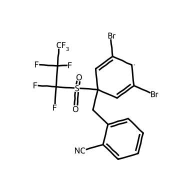 N#Cc1ccccc1CC1(S(=O)(=O)C(F)(F)C(F)(F)C(F)(F)F)C=C(Br)[CH]C(Br)=C1